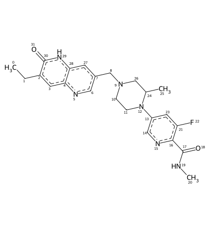 CCc1cc2ncc(CN3CCN(c4cnc(C(=O)NC)c(F)c4)C(C)C3)cc2[nH]c1=O